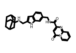 O=C(NCc1ccc2cc(CNC34CC5CC(CC(C5)C3)C4)[nH]c2c1)c1cc(=O)n2ccccc2n1